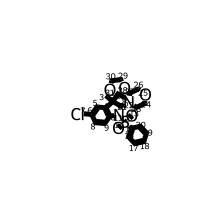 CC1(C2(C)c3cc(Cl)ccc3N(S(=O)(=O)c3ccccc3)C2N2CCOCC2)OCCO1